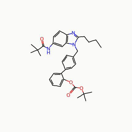 CCCCc1nc2ccc(NC(=O)C(C)(C)C)cc2n1Cc1ccc(-c2ccccc2OC(=O)OC(C)(C)C)cc1